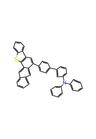 c1ccc(N(c2ccccc2)c2cccc(-c3ccc(-c4cc5c6ccccc6sc5c5cc6ccccc6cc45)cc3)c2)cc1